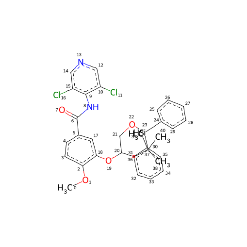 COc1ccc(C(=O)Nc2c(Cl)cncc2Cl)cc1OC(CO[SiH](c1ccccc1)c1ccccc1)CC(C)(C)C